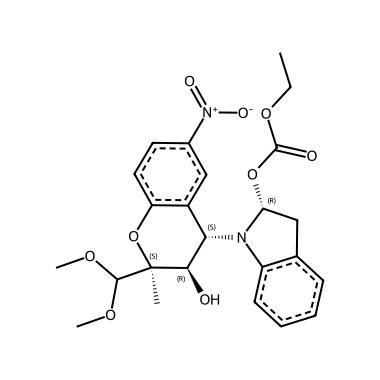 CCOC(=O)O[C@@H]1Cc2ccccc2N1[C@H]1c2cc([N+](=O)[O-])ccc2O[C@](C)(C(OC)OC)[C@@H]1O